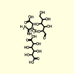 CN(CC(=O)O)C(=N)N.O=C(O)C(O)C(O)C(O)C(O)C(=O)O.O=CC(O)C(O)C(O)C(O)CO